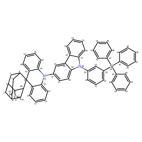 C[C@H]1C2CC3CC(C2)C2(c4ccccc4N(c4ccc5c(c4)c4ccccc4n5-c4cccc([Si](c5ccccc5)(c5ccccc5)c5ccccc5)c4)c4ccccc42)C1C3